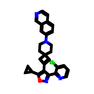 Clc1cccnc1-c1noc(C2CC2)c1C1=CC2(CCN(c3ccc4ccncc4c3)CC2)C1